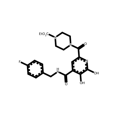 CCOC(=O)N1CCN(C(=O)c2cc(C(=O)NCc3ccc(F)cc3)c(O)c(O)n2)CC1